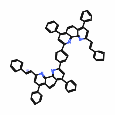 C(=Cc1cc(-c2ccccc2)c2ccc3c(-c4ccccc4)cc(-c4ccc(-c5cc(-c6ccccc6)c6ccc7c(-c8ccccc8)cc(/C=C/c8ccccc8)nc7c6n5)cc4)nc3c2n1)c1ccccc1